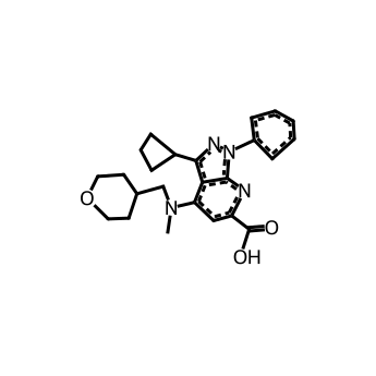 CN(CC1CCOCC1)c1cc(C(=O)O)nc2c1c(C1CCC1)nn2-c1ccccc1